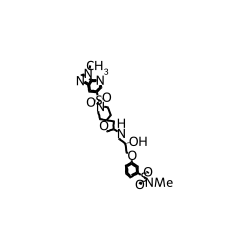 CNS(=O)(=O)c1cccc(OC[C@@H](O)CNC2COC3(CCN(S(=O)(=O)c4cnc5c(c4)ncn5C)CC3)C2)c1